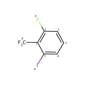 Fc1cccc(I)c1C(F)(F)F